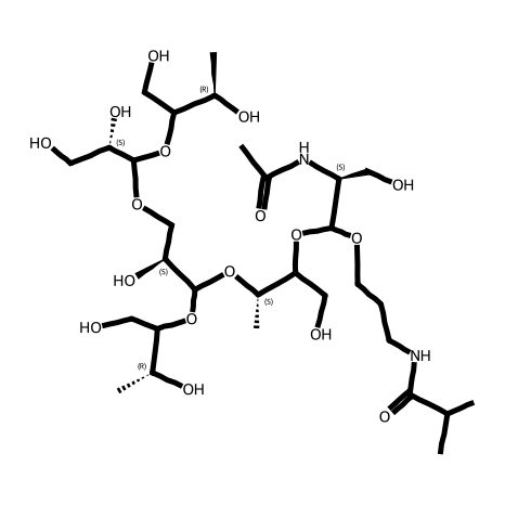 CC(=O)N[C@@H](CO)C(OCCCNC(=O)C(C)C)OC(CO)[C@H](C)OC(OC(CO)[C@@H](C)O)[C@@H](O)COC(OC(CO)[C@@H](C)O)[C@@H](O)CO